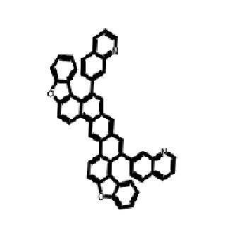 c1cnc2cc(-c3cc4cc5cc(-c6ccc7cccnc7c6)c6c(ccc7oc8ccccc8c76)c5cc4c4ccc5oc6ccccc6c5c34)ccc2c1